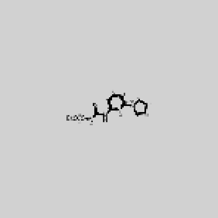 CCOC(=O)NC(=S)Nc1cccc(N2CCCC2)n1